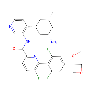 COC1(c2cc(F)c(-c3nc(C(=O)Nc4cnccc4[C@@H]4C[C@H](C)C[C@H](N)C4)ccc3F)c(F)c2)COC1